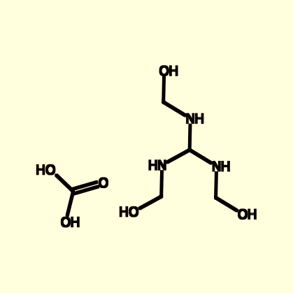 O=C(O)O.OCNC(NCO)NCO